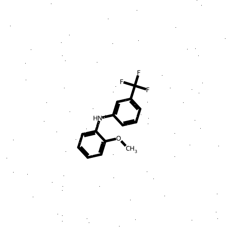 COc1ccccc1Nc1cccc(C(F)(F)F)c1